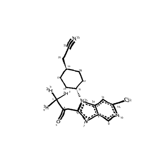 [2H]C([2H])([2H])C(=O)c1nc2cnc(Cl)cc2n1[C@H]1CC[C@H](CC#N)CC1